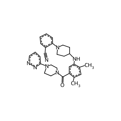 Cc1cc(C)c(C(=O)N2CCN(c3cccnn3)CC2)cc1NC1CCN(c2ccccc2C#N)CC1